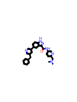 CN(C)Cc1ccc(NC(=O)c2n[nH]c3ccc(-c4cncc(Cc5ccccc5)c4)cc23)cn1